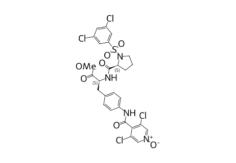 COC(=O)[C@H](Cc1ccc(NC(=O)c2c(Cl)c[n+]([O-])cc2Cl)cc1)NC(=O)[C@@H]1CCCN1S(=O)(=O)c1cc(Cl)cc(Cl)c1